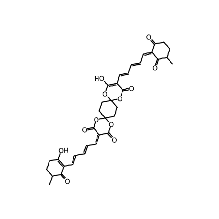 CC1CCC(O)=C(/C=C/C=C/C=C2C(=O)OC3(CCC4(CC3)OC(=O)C(/C=C/C=C/C=C3/C(=O)CCC(C)C3=O)=C(O)O4)OC2=O)C1=O